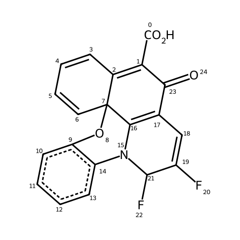 O=C(O)C1=C2C=CC=CC23Oc2ccccc2N2C3=C(C=C(F)C2F)C1=O